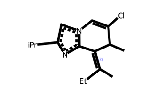 CC/C(C)=C1\c2nc(C(C)C)cn2C=C(Cl)C1C